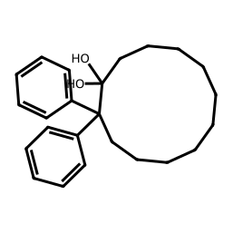 OC1(O)CCCCCCCCCCC1(c1ccccc1)c1ccccc1